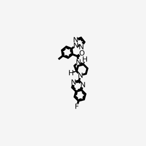 Cc1ccc(-n2nccn2)c(C(=O)N2C[C@@H]3C[C@H]2CCN3c2ncc3cc(F)ccc3n2)c1